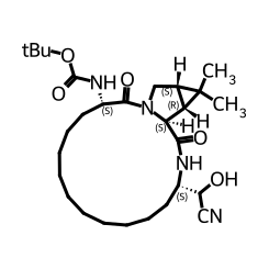 CC(C)(C)OC(=O)N[C@H]1CCCCCCCCCC[C@@H](C(O)C#N)NC(=O)[C@@H]2[C@@H]3[C@H](CN2C1=O)C3(C)C